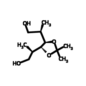 C[C@H](CO)[C@H]1OC(C)(C)O[C@@H]1[C@H](C)CO